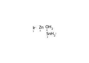 O.[Ir].[SnH2].[Zn]